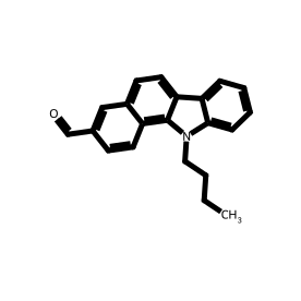 CCCCn1c2ccccc2c2ccc3cc(C=O)ccc3c21